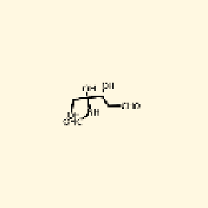 O=CC[C@@H](O)[C@@](O)(CO)NC=O